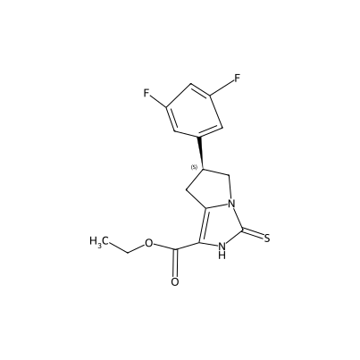 CCOC(=O)c1[nH]c(=S)n2c1C[C@@H](c1cc(F)cc(F)c1)C2